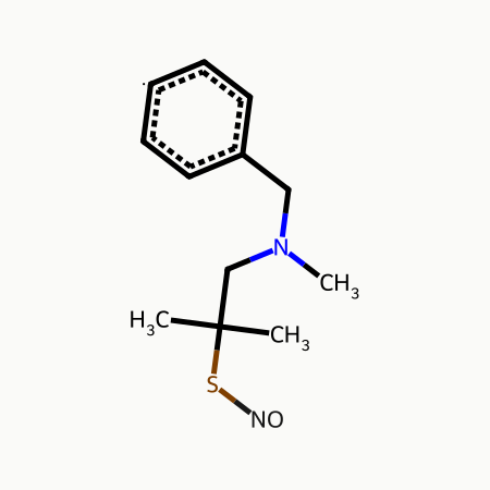 CN(Cc1cc[c]cc1)CC(C)(C)SN=O